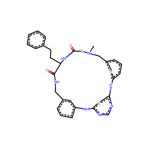 CN1CC(=O)NC(CCc2ccccc2)C(=O)NCc2cccc(c2)Nc2cc(ncn2)Nc2cccc(c2)C1